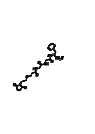 O=C(CCOCCN1C(=O)C=CC1=O)NCC(=O)NCC(=O)N[C@@H](Cc1ccccc1)C(=O)O